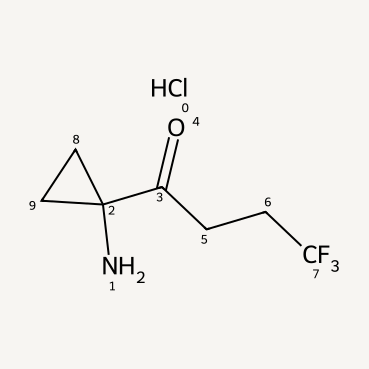 Cl.NC1(C(=O)CCC(F)(F)F)CC1